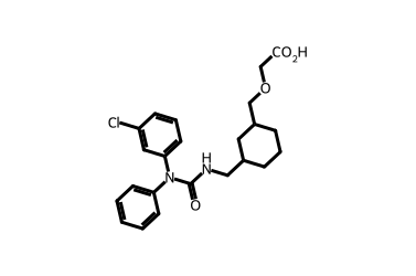 O=C(O)COCC1CCCC(CNC(=O)N(c2ccccc2)c2cccc(Cl)c2)C1